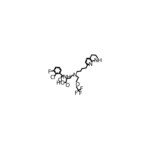 O=C(NC(CCN(CCCCc1ccc2c(n1)NCCC2)CCOCC(F)(F)F)C(=O)O)c1cccc(F)c1Cl